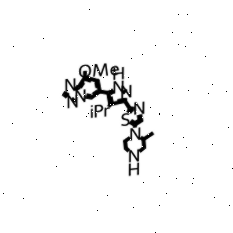 COc1cc(-c2[nH]nc(-c3ncc(N4CCNCC4C)s3)c2C(C)C)cn2ncnc12